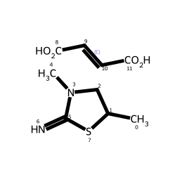 CC1CN(C)C(=N)S1.O=C(O)/C=C/C(=O)O